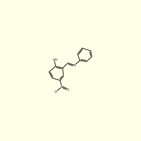 O=[N+]([O-])c1ccc(O)c(C=Nc2ccccc2)c1